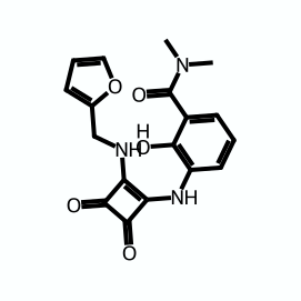 CN(C)C(=O)c1cccc(Nc2c(NCc3ccco3)c(=O)c2=O)c1O